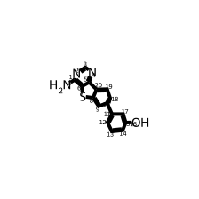 Nc1ncnc2c1sc1cc(-c3cccc(O)c3)ccc12